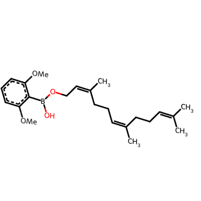 COc1cccc(OC)c1B(O)OCC=C(C)CCC=C(C)CCC=C(C)C